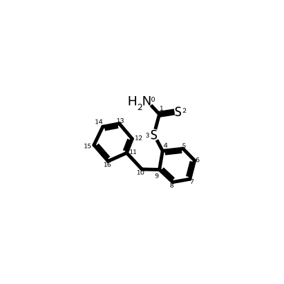 NC(=S)Sc1ccccc1Cc1ccccc1